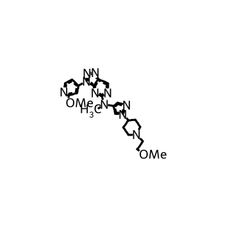 COCCN1CCC(n2cc(N(C)c3ncc4nnn(-c5ccnc(OC)c5)c4n3)cn2)CC1